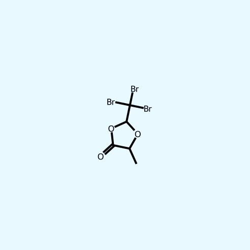 CC1OC(C(Br)(Br)Br)OC1=O